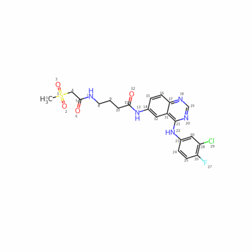 CS(=O)(=O)CC(=O)NCCCC(=O)Nc1ccc2ncnc(Nc3ccc(F)c(Cl)c3)c2c1